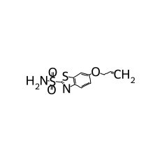 C=CCOc1ccc2nc(S(N)(=O)=O)sc2c1